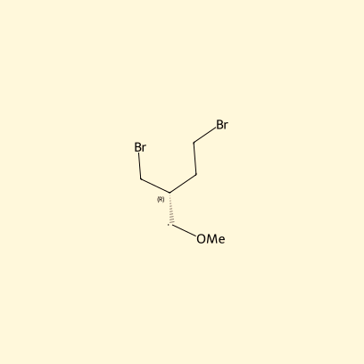 CO[CH][C@H](CBr)CCBr